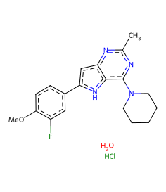 COc1ccc(-c2cc3nc(C)nc(N4CCCCC4)c3[nH]2)cc1F.Cl.O